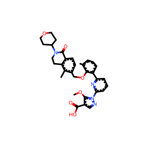 COc1c(C(=O)O)cnn1-c1cccc(-c2cccc(C)c2OCc2ccc3c(c2C)CCN(C2CCOCC2)C3=O)n1